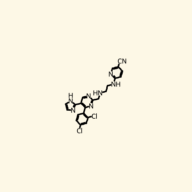 N#Cc1ccc(NCCNCc2ncc(-c3ncc[nH]3)c(-c3ccc(Cl)cc3Cl)n2)nc1